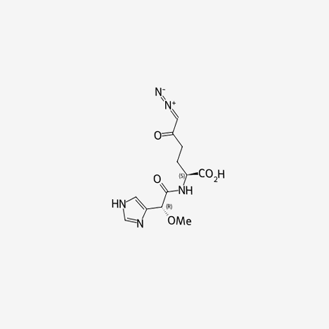 CO[C@@H](C(=O)N[C@@H](CCC(=O)C=[N+]=[N-])C(=O)O)c1c[nH]cn1